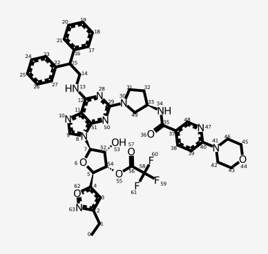 CCc1cc([C@H]2O[C@@H](n3cnc4c(NCC(c5ccccc5)c5ccccc5)nc(N5CC[C@@H](NC(=O)c6ccc(N7CCOCC7)nc6)C5)nc43)[C@H](O)[C@@H]2OC(=O)C(F)(F)F)on1